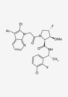 CCc1c(C(C)=O)c2cccnc2n1CC(=O)N1C[C@H](F)[C@@H](OC)[C@H]1C(=O)N[C@H](C)c1cccc(Cl)c1F